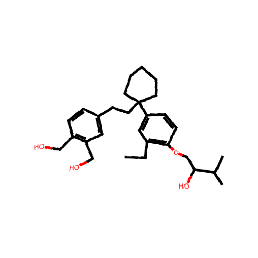 CCc1cc(C2(CCc3ccc(CO)c(CO)c3)CCCCC2)ccc1OCC(O)C(C)C